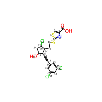 O=C(O)c1csc(SCCC2[C@@H](C#Cc3cc(Cl)cc(Cl)c3)C(O)C[C@H]2Cl)n1